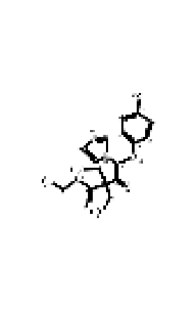 CCOC(=O)C(CC)(CC)C(=O)C(Oc1ccc(Cl)cc1)n1ccnc1